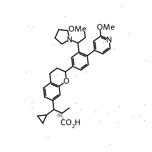 COCC(c1cc(C2CCc3ccc(C(C4CC4)[C@H](C)C(=O)O)cc3O2)ccc1-c1ccnc(OC)c1)N1CCCC1